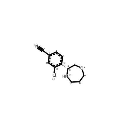 N#Cc1ccc([C@@H]2COCCCN2)c(Cl)c1